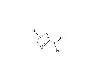 OB(O)c1cc(Cl)cs1